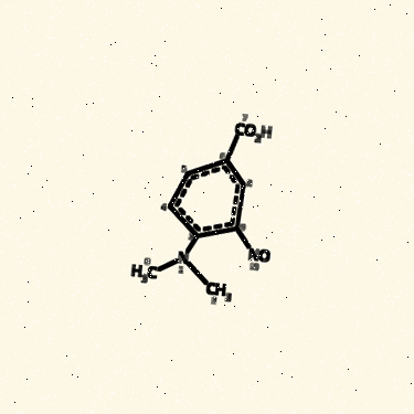 CN(C)c1ccc(C(=O)O)cc1N=O